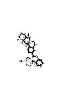 CCCCCCON(C(=O)c1ccc2c(c1)CCN1C[C@@H]3CCCN[C@@H]3C[C@H]21)[C@H](C)c1ccccc1